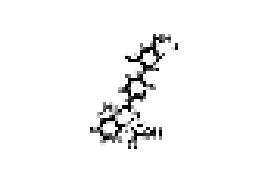 Cc1cc(N)cnc1-c1ccc(C(=O)Nc2ccccc2NC(=O)O)cc1